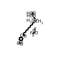 C[N+](C)(CCCCCCCCCCC(=O)Oc1ccc([N+](=O)[O-])cc1)CCOP(=O)(O)O.O=C(OF)C(F)F